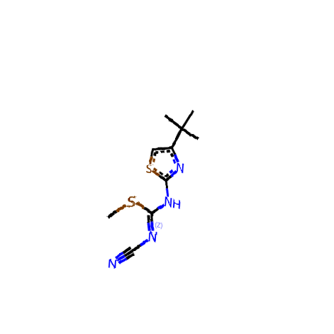 CS/C(=N\C#N)Nc1nc(C(C)(C)C)cs1